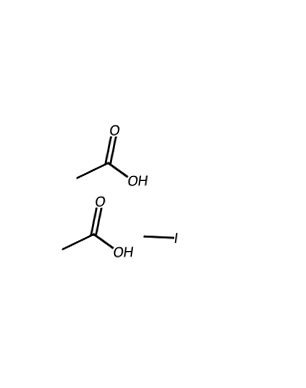 CC(=O)O.CC(=O)O.CI